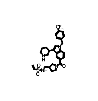 C=CS(=O)(=O)NCC1CCN(C(=O)c2ccc3c(c2)c(C2CCCNC2)cn3Cc2ccc(C(F)(F)F)cc2)C1